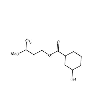 COC(C)CCOC(=O)C1CCCC(O)C1